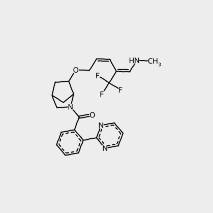 CN/C=C(\C=C/COC1CC2CC1N(C(=O)c1ccccc1-c1ncccn1)C2)C(F)(F)F